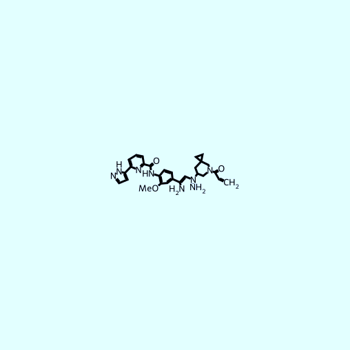 C=CC(=O)N1CC(N(N)/C=C(\N)c2ccc(NC(=O)c3cccc(-c4ccn[nH]4)n3)c(OC)c2)CC2(CC2)C1